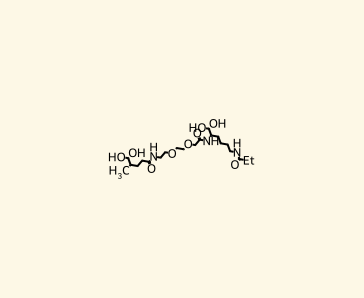 CCC(=O)NCCCCC(NC(=O)COCCOCCNC(=O)CCC(C)C(O)O)C(O)O